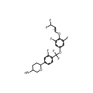 CCCC1CCC(c2ccc(C(F)(F)Oc3cc(F)c(O/C=C/C(F)F)c(F)c3)c(F)c2)OC1